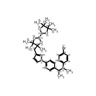 C[C@@H](c1ccc(-n2ccc(CC3(C)OB(B4OC(C)(C)C(C)(C)O4)OC3(C)C)n2)nc1)N(C)c1ccc(Br)cn1